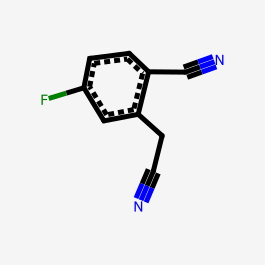 N#CCc1cc(F)ccc1C#N